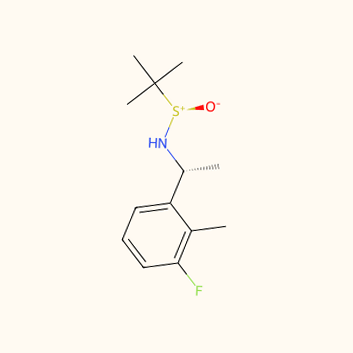 Cc1c(F)cccc1[C@@H](C)N[S@+]([O-])C(C)(C)C